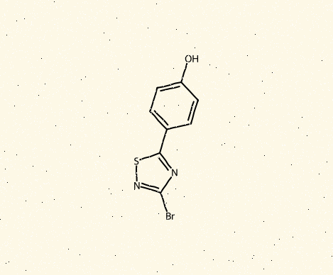 Oc1ccc(-c2nc(Br)ns2)cc1